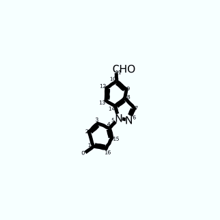 Cc1ccc(-n2ncc3cc(C=O)ccc32)cc1